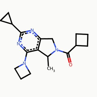 CC1c2c(nc(C3CC3)nc2N2CCC2)CN1C(=O)C1CCC1